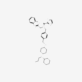 CCCN(C1CCCCC1)[C@H]1CC[C@H](NCc2ccc(CN(Cc3nc4ccccc4[nH]3)C(=O)c3ncc[nH]3)cc2)CC1